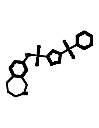 O=S(=O)(Nc1ccc2c(c1)CNCCC2)c1cc(S(=O)(=O)c2ccccc2)cs1